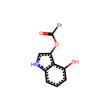 CCC(=O)Oc1c[nH]c2cccc(O)c12